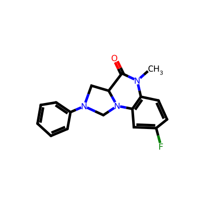 CN1C(=O)C2CN(c3ccccc3)CN2c2cc(F)ccc21